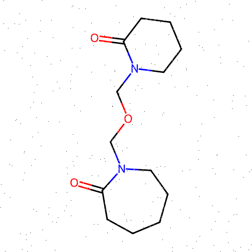 O=C1CCCCCN1COCN1CCCCC1=O